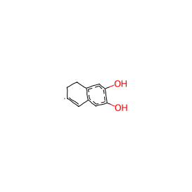 Oc1cc2c(cc1O)CC[C]=C2